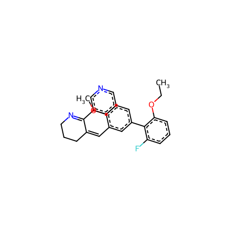 CCOc1cccc(F)c1-c1ccc(OC)c(/C=C2/CCCN=C2c2cccnc2)c1